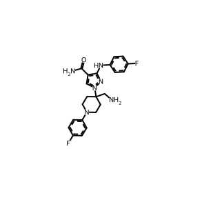 NCC1(n2cc(C(N)=O)c(Nc3ccc(F)cc3)n2)CCN(c2ccc(F)cc2)CC1